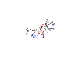 CC(C)C[C@H](N)COc1cc2c(cc1I)-c1ccncc1C(C)O2